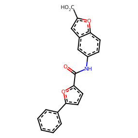 O=C(O)c1cc2cc(NC(=O)c3ccc(-c4ccccc4)o3)ccc2o1